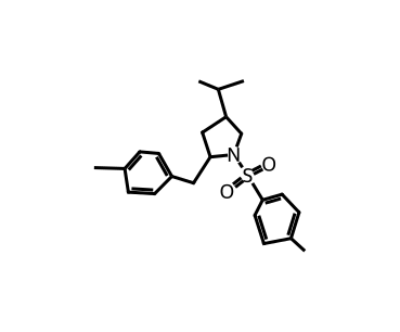 Cc1ccc(CC2CC(C(C)C)CN2S(=O)(=O)c2ccc(C)cc2)cc1